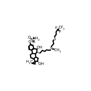 CN(CCCCC[C@H]1C2C(CC[C@@]3(C)C2C[C@@H](O)C32CC2)c2ccc(OS(N)(=O)=O)cc2[C@H]1O)CCCSCCCC(F)(F)C(F)(F)F